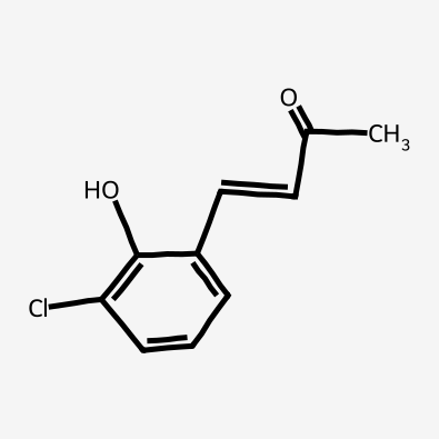 CC(=O)/C=C/c1cccc(Cl)c1O